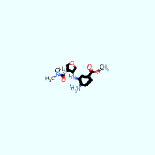 COC(=O)c1ccc(N)c(N[C@H]2COC[C@H]2C(=O)N(C)C)c1